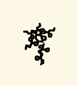 CCCC(=O)O[C@H]1O[C@H](COC(=O)/C=C/C(=O)OC)[C@@H](OC(=O)CCC)[C@H](OC(=O)CCC)[C@H]1OC(=O)CCC